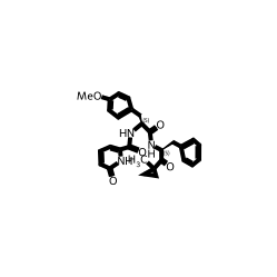 COc1ccc(C[C@H](NC(=O)c2cccc(=O)[nH]2)C(=O)N[C@@H](Cc2ccccc2)C(=O)C2(C)CC2)cc1